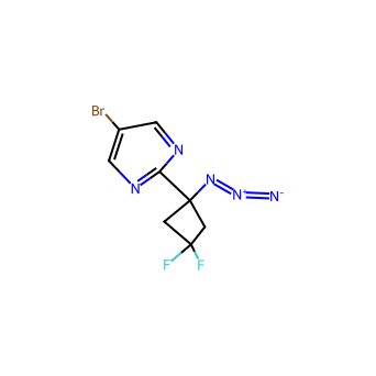 [N-]=[N+]=NC1(c2ncc(Br)cn2)CC(F)(F)C1